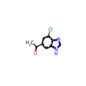 CC(=O)c1cc(Cl)c2nc[nH]c2c1